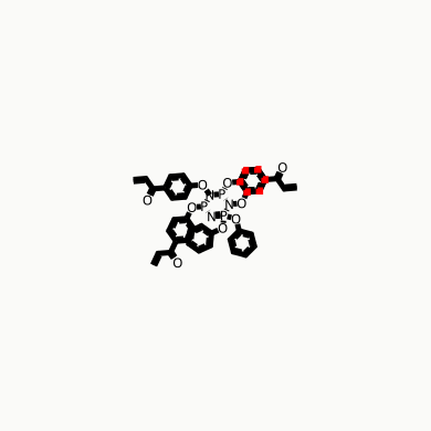 C=CC(=O)c1ccc(ON2P(Oc3ccc(C(=O)C=C)cc3)N=P(Oc3ccccc3)(Oc3ccccc3)N(Oc3ccccc3)P2Oc2ccc(C(=O)C=C)cc2)cc1